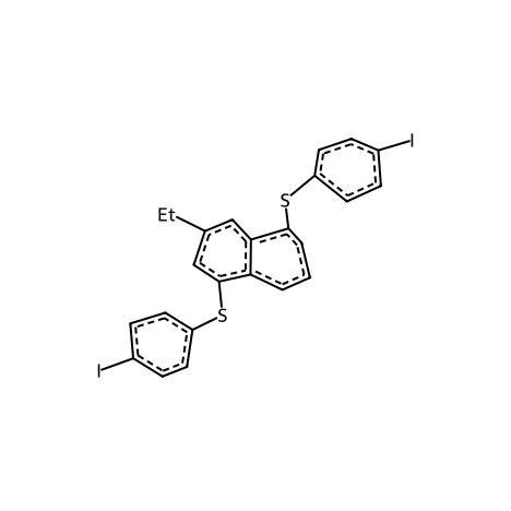 CCc1cc(Sc2ccc(I)cc2)c2cccc(Sc3ccc(I)cc3)c2c1